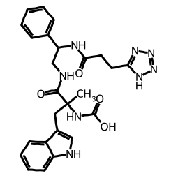 CC(Cc1c[nH]c2ccccc12)(NC(=O)O)C(=O)NCC(NC(=O)CCc1nnn[nH]1)c1ccccc1